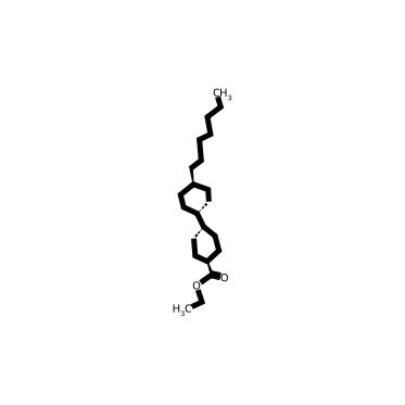 CCCCCCC[C@H]1CC[C@H]([C@H]2CC[C@H](C(=O)OCC)CC2)CC1